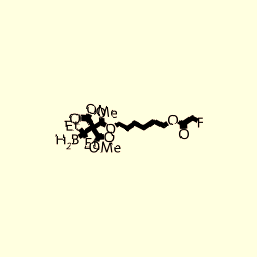 BC(CC)(CC)C(C(=O)OC)(C(=O)OC)C(=O)OCCCCCCOC(=O)CF